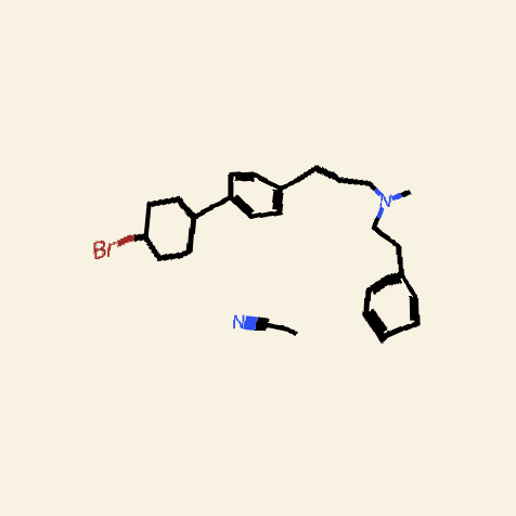 CC#N.CN(CCCc1ccc(C2CCC(Br)CC2)cc1)CCc1ccccc1